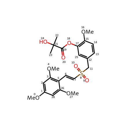 COc1cc(OC)c(C=CS(=O)(=O)Cc2ccc(OC)c(OC(=O)C(C)(C)O)c2)c(OC)c1